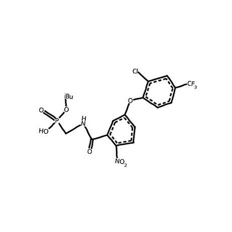 CCC(C)OP(=O)(O)CNC(=O)c1cc(Oc2ccc(C(F)(F)F)cc2Cl)ccc1[N+](=O)[O-]